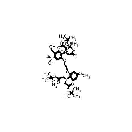 COc1ccc(N(CC(=O)OC(C)(C)C)CC(=O)OC(C)(C)C)c(OCCOc2cc([N+](=O)[O-])c(CO)cc2N(CC(=O)OC(C)(C)C)CC(=O)OC(C)(C)C)c1